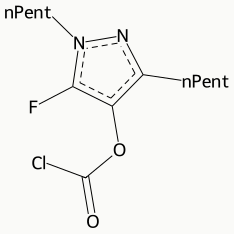 CCCCCc1nn(CCCCC)c(F)c1OC(=O)Cl